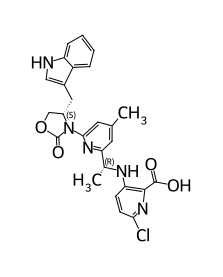 Cc1cc([C@@H](C)Nc2ccc(Cl)nc2C(=O)O)nc(N2C(=O)OC[C@@H]2Cc2c[nH]c3ccccc23)c1